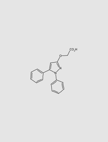 O=C(O)COc1cc(-c2ccccc2)n(-c2ccccc2)n1